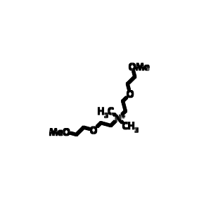 COCCOCC[N+](C)(C)CCOCCOC